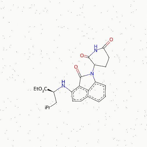 CCOC(=O)[C@H](CC(C)C)Nc1ccc2cccc3c2c1C(=O)N3C1CCC(=O)NC1=O